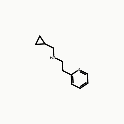 c1ccc(CCNCC2CC2)nc1